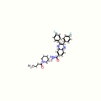 CCCC(=O)N1CCC[C@H](CNC(=O)c2ccc3nc(-c4ccc(F)cc4)c(-c4ccc(F)cc4)nc3c2)C1